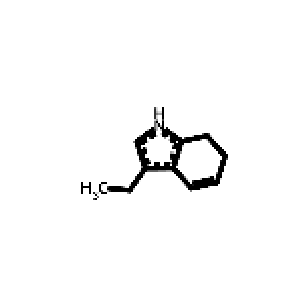 CCc1c[nH]c2c1C=CCC2